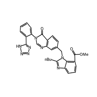 CCCCc1nc2cccc(C(=O)OC)c2n1Cc1ccc2c(=O)n(-c3ccccc3-c3nnn[nH]3)cnc2c1